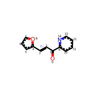 O=C(/C=C/c1ccco1)c1ccccn1